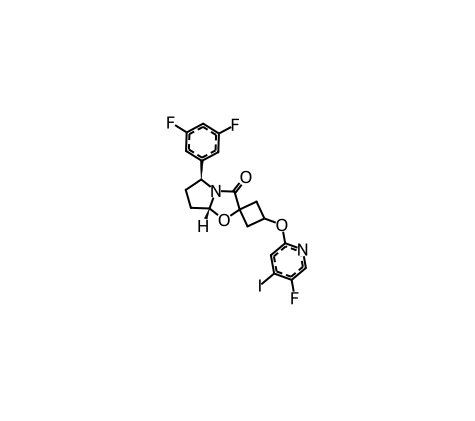 O=C1N2[C@@H](CC[C@H]2c2cc(F)cc(F)c2)OC12CC(Oc1cc(I)c(F)cn1)C2